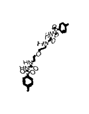 Cc1ccc(S(=O)(=O)NC(=O)NCCOCCNC(=O)NS(=O)(=O)c2ccc(C)cc2)cc1